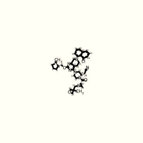 CN1CCC[C@H]1COc1nc2c(c(N3CCN(C(=O)[C@@H]4CN4CC4(C)COC4)[C@@H](CC#N)C3)n1)CCN(c1cccc3cccc(Cl)c13)C2